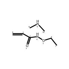 C=CC(=O)NOCC.CNC